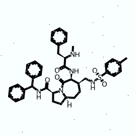 CN[C@H](Cc1ccccc1)C(=O)N[C@@H]1C(=O)N2[C@@H](CC[C@@H]1CNS(=O)(=O)c1ccc(C)cc1)CC[C@H]2C(=O)NC(c1ccccc1)c1ccccc1